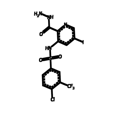 NNC(=O)c1ncc(I)cc1NS(=O)(=O)c1ccc(Cl)c(C(F)(F)F)c1